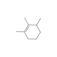 CC1=C(C)C(C)CCC1